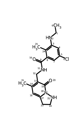 CCNc1cc(Cl)cc(C(=O)NCc2c(C)cc3n(c2=O)NCC3)c1C